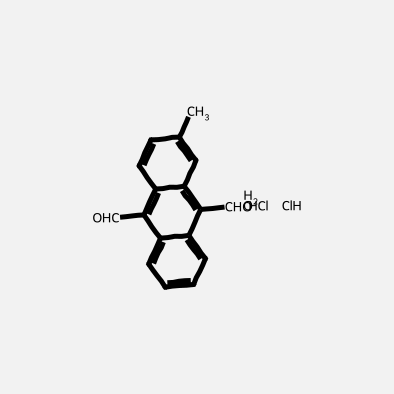 Cc1ccc2c(C=O)c3ccccc3c(C=O)c2c1.Cl.Cl.O